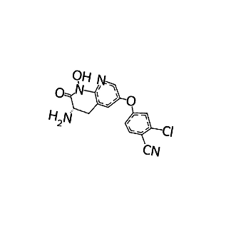 N#Cc1ccc(Oc2cnc3c(c2)C[C@H](N)C(=O)N3O)cc1Cl